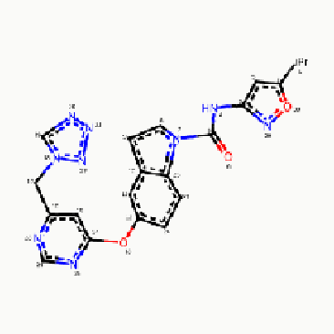 CC(C)c1cc(NC(=O)n2ccc3cc(Oc4cc(Cn5cnnn5)ncn4)ccc32)no1